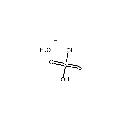 O.O=S(O)(O)=S.[Ti]